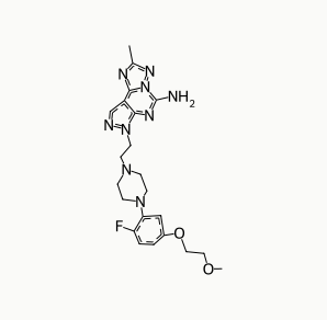 COCCOc1ccc(F)c(N2CCN(CCn3ncc4c3nc(N)n3nc(C)nc43)CC2)c1